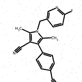 Cc1c(C#N)c(-c2ccc(C#N)cc2)c(C)n1Cc1ccc(F)nc1